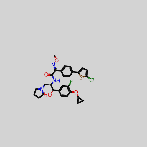 CO/N=C(/C(=O)N[C@H](CN1CCCC1)[C@H](O)c1ccc(OC2CC2)c(F)c1)c1ccc(-c2ccc(Cl)s2)cc1